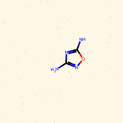 [NH]c1nc(N)no1